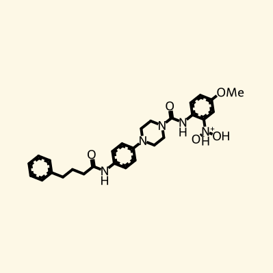 COc1ccc(NC(=O)N2CCN(c3ccc(NC(=O)CCCc4ccccc4)cc3)CC2)c([NH+]([O-])O)c1